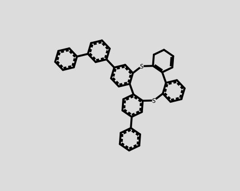 C1=CC2=C(CC1)Sc1cc(-c3cccc(-c4ccccc4)c3)ccc1-c1ccc(-c3ccccc3)cc1Sc1ccccc12